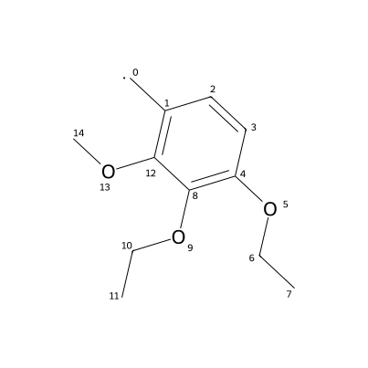 [CH2]c1ccc(OCC)c(OCC)c1OC